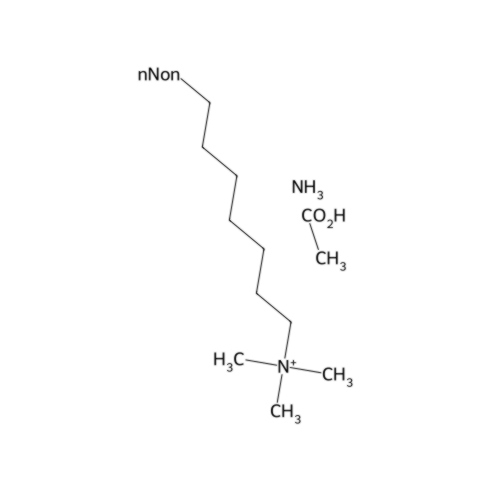 CC(=O)O.CCCCCCCCCCCCCCCC[N+](C)(C)C.N